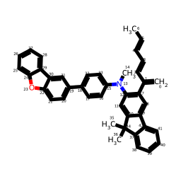 C=C(/C=C/C=C/C)c1cc2c(cc1N(C)c1ccc(-c3ccc4oc5ccccc5c4c3)cc1)C(C)(C)c1ccccc1-2